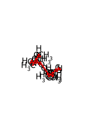 CCN(c1cc(-c2ccc(OCCCOCCCOCC(=O)N[C@H](C(=O)N3C[C@H](O)C[C@H]3C(=O)NCc3ccc(-c4scnc4C)cc3)C(C)(C)C)cc2)cc(C(=O)NCc2c(C)cc(C)[nH]c2=O)c1C)C1CCOCC1